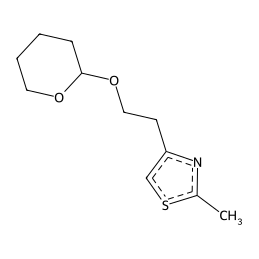 Cc1nc(CCOC2CCCCO2)cs1